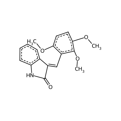 COc1ccc(OC)c(OC)c1C=C1C(=O)Nc2ccccc21